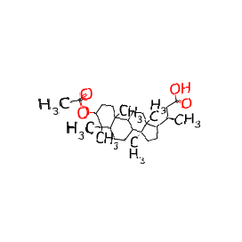 CC(=O)OC1CCC2(C)C3CCC4(C)C([C@H](C)CC(=O)O)CC[C@@]4(C)C3CCC2C1(C)C